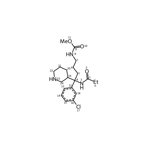 CCC(=O)NC(CCCNC(=O)OC)(c1cccc(Cl)c1)C1CCCNC1